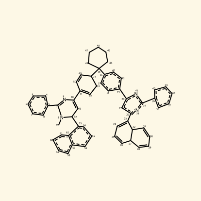 CN1C(c2ccccc2)=NC(C2=CCC(C3(c4ccc(-c5cc(C6=CC=CC7C=CC=CC67)nc(-c6ccccc6)n5)cc4)CCCCC3)C=C2)=CC1c1cccc2ccccc12